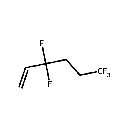 C=CC(F)(F)CCC(F)(F)F